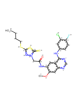 CCOc1cc2ncnc(Nc3ccc(F)c(Cl)c3)c2cc1NC(=O)Cn1nc(SCCCS(=O)(=O)O)sc1=S